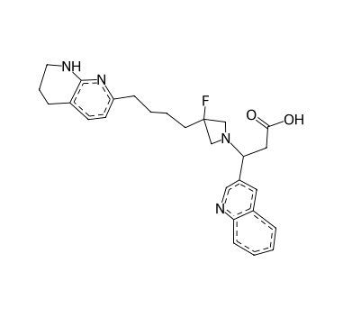 O=C(O)CC(c1cnc2ccccc2c1)N1CC(F)(CCCCc2ccc3c(n2)NCCC3)C1